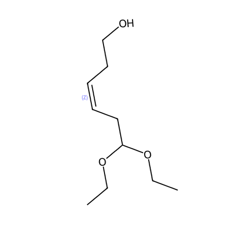 CCOC(C/C=C\CCO)OCC